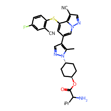 Cc1c(-c2cc(Sc3ccc(F)cc3C#N)c3c(C#N)cnn3c2)cnn1[C@H]1CC[C@H](OC(=O)C(N)C(C)C)CC1